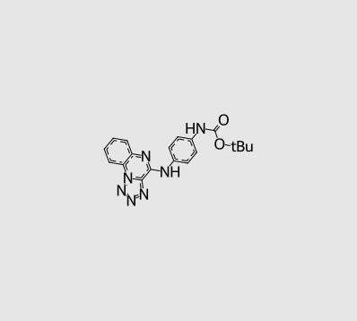 CC(C)(C)OC(=O)Nc1ccc(Nc2nc3ccccc3n3nnnc23)cc1